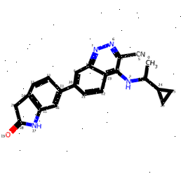 CC(Nc1c(C#N)nnc2cc(-c3ccc4c(c3)NC(=O)C4)ccc12)C1CC1